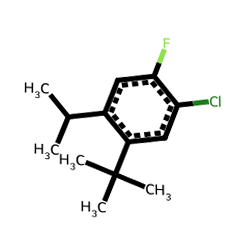 CC(C)c1cc(F)c(Cl)cc1C(C)(C)C